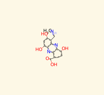 C/N=C\c1c(O)cc(O)c2nc3c(C(=O)O)ccc(O)c3nc12